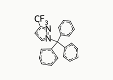 FC(F)(F)c1ccn(C(c2ccccc2)(c2ccccc2)c2ccccc2)n1